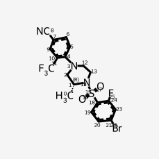 C[C@@H]1CN(c2ccc(C#N)cc2C(F)(F)F)CCN1S(=O)(=O)c1ccc(Br)cc1F